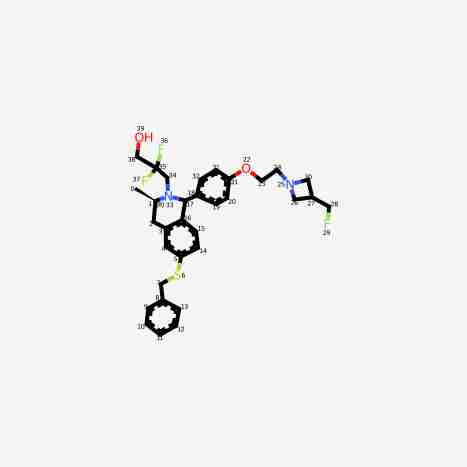 C[C@@H]1Cc2cc(SCc3ccccc3)ccc2C(c2ccc(OCCN3CC(CF)C3)cc2)N1CC(F)(F)CO